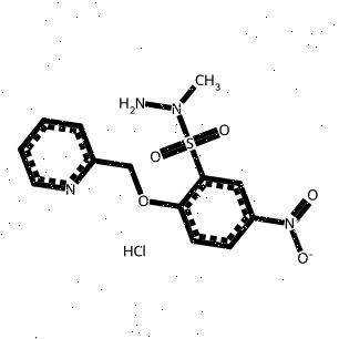 CN(N)S(=O)(=O)c1cc([N+](=O)[O-])ccc1OCc1ccccn1.Cl